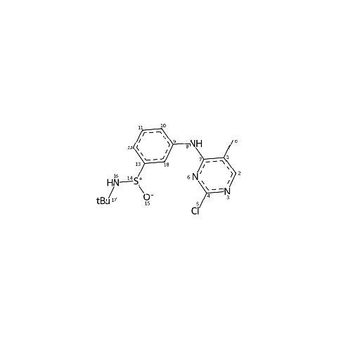 Cc1cnc(Cl)nc1Nc1cccc([S+]([O-])NC(C)(C)C)c1